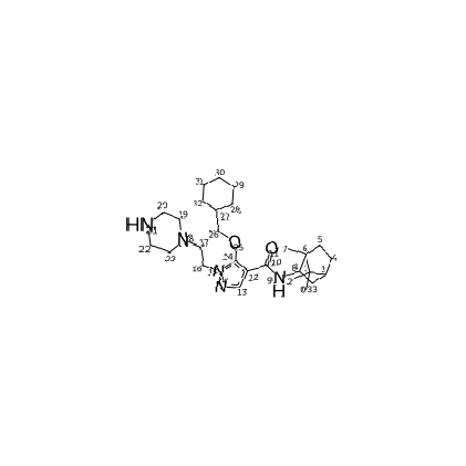 CC1(C)C2CCC1(C)C(NC(=O)c1cnn(CCN3CCNCC3)c1OCC1CCCCC1)C2